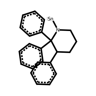 [Sn][N]1CCCC(c2ccccc2)C1(c1ccccc1)c1ccccc1